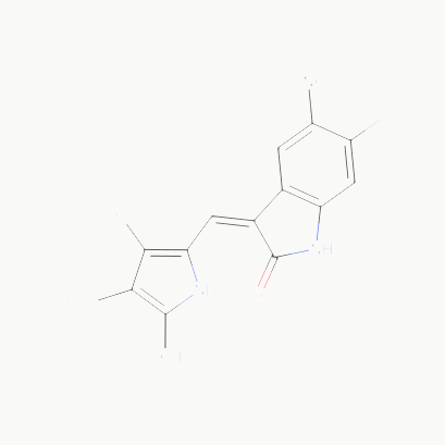 Cc1[nH]c(/C=C2\C(=O)Nc3cc(F)c([N+](=O)[O-])cc32)c(C)c1C(=O)O